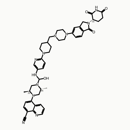 C[C@@H]1CN(c2ccc(C#N)c3ncccc23)[C@@H](C)CN1C(O)Nc1ccc(N2CCC(CN3CCN(c4ccc5c(c4)CN([C@H]4CCC(=O)NC4=O)C5=O)CC3)CC2)nc1